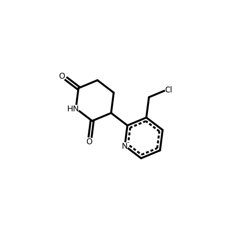 O=C1CCC(c2ncccc2CCl)C(=O)N1